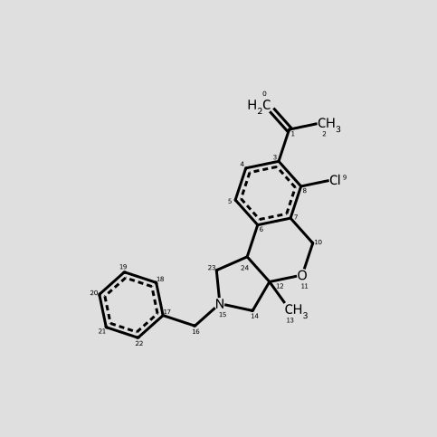 C=C(C)c1ccc2c(c1Cl)COC1(C)CN(Cc3ccccc3)CC21